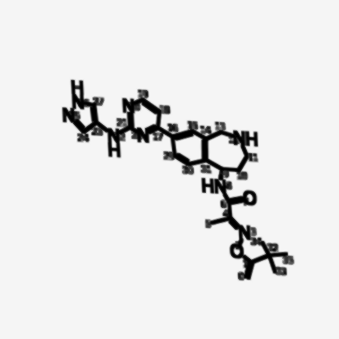 C=C(O/N=C(\C)C(=O)N[C@@H]1CCNCc2cc(-c3ccnc(Nc4cn[nH]c4)n3)ccc21)C(C)(C)C